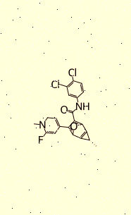 C[C@H]1c2c1c1oc2c(C(=O)Nc2ccc(Cl)c(Cl)c2)c1C1=CCN(C)C(F)=C1